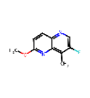 COc1ccc2ncc(F)c(C)c2n1